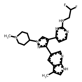 Cc1c[nH]c2ncc(-c3nn(C4CCN(C)CC4)cc3-c3ccnc(NCC(F)F)n3)cc12